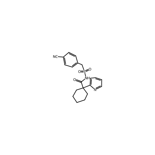 N#Cc1ccc(CS(=O)(=O)NC(=O)C2(c3ccccn3)CCCCC2)cc1